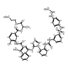 CCCCCCCCCCCCOC(=O)C(C)OC(=O)c1ccc(Cl)c(NC(=O)c2cc(Sc3nnnn3-c3ccccc3NC(=O)Nc3cccc(S(=O)(=O)Nc4ccc(NNC=O)cc4)c3)c3ccccc3c2O)c1